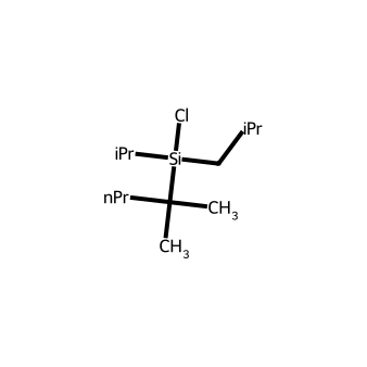 CCCC(C)(C)[Si](Cl)(CC(C)C)C(C)C